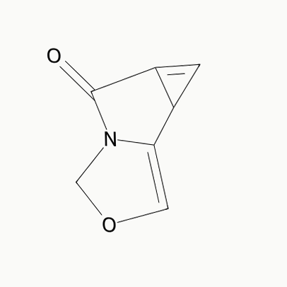 O=C1C2=CC2C2=COCN12